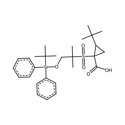 CC(C)(C)C1CC1(C(=O)O)S(=O)(=O)C(C)(C)CO[Si](c1ccccc1)(c1ccccc1)C(C)(C)C